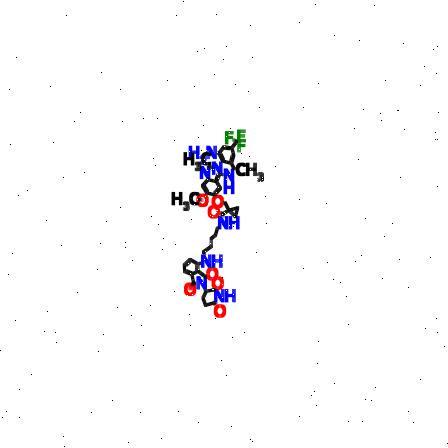 COc1cc2nc(C)nc(N[C@H](C)c3cc(N)cc(C(F)(F)F)c3)c2cc1OCC1(C(=O)NCCCCCNc2cccc3c2C(=O)N(C2CCC(=O)NC2=O)C3=O)CC1